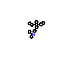 c1ccc(-c2c3ccccc3nn2-c2ccc(-c3ccc4c(-c5ccc6ccccc6c5)c5ccccc5c(-c5ccc6ccccc6c5)c4c3)cc2)cc1